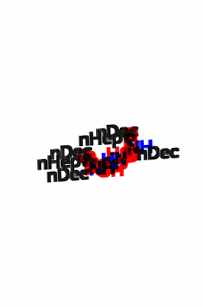 C=C(CCCCCCCCCCC)O[C@H](CCCCCCC)CCOCC(COP(=O)(O)OCCNC(=O)CC(=O)NCCOP(=O)(O)OCC(COCC[C@@H](CCCCCCC)OC(=O)CCCCCCCCCCC)NC(=O)CCCCCCCCCCCCC)NC(=O)CCCCCCCCCCCCC